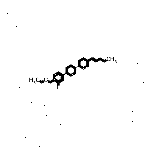 CCC/C=C/C1CCC([C@H]2CC[C@H](c3ccc(COCC)c(F)c3)CC2)CC1